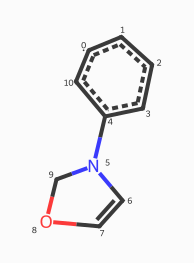 [c]1cccc(N2C=COC2)c1